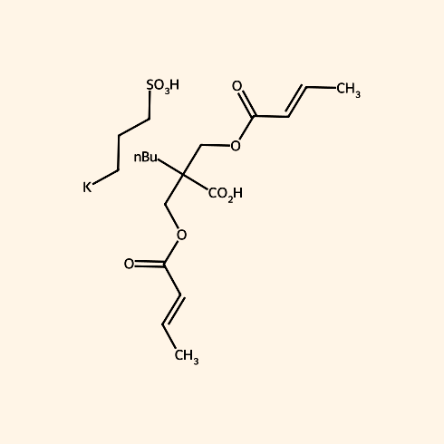 CC=CC(=O)OCC(CCCC)(COC(=O)C=CC)C(=O)O.O=S(=O)(O)CC[CH2][K]